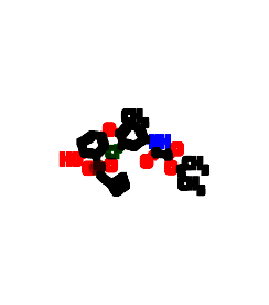 Cc1cc(NC(=O)C(=O)OC(C)C)cc(Cl)c1Oc1ccc(O)c(S(=O)(=O)CC2CCC2)c1